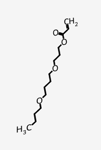 C=CC(=O)OCCCOCCCCOCCCC